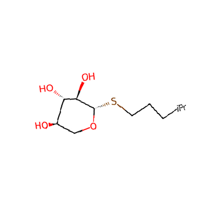 CC(C)CCCS[C@@H]1OC[C@@H](O)[C@H](O)[C@H]1O